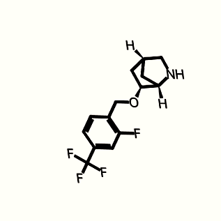 Fc1cc(C(F)(F)F)ccc1CO[C@H]1C[C@@H]2CN[C@H]1C2